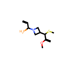 C=CC(P)N1CC(C(SC)C(=C)OC)C1